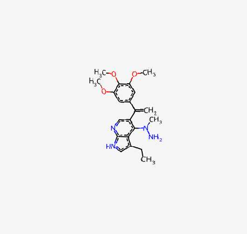 C=C(c1cc(OC)c(OC)c(OC)c1)c1cnc2[nH]cc(CC)c2c1N(C)N